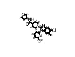 Cc1cc2c(cc1Cl)nc(N1CCC(C(=O)N[C@@H]3CCOC3)CC1)n2-c1cccc(C(F)(F)F)n1